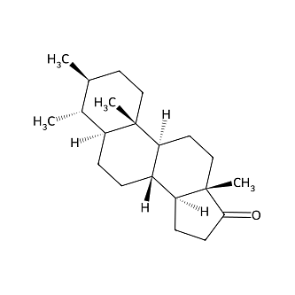 C[C@@H]1[C@@H](C)CC[C@@]2(C)[C@H]1CC[C@@H]1[C@@H]2CC[C@]2(C)C(=O)CC[C@@H]12